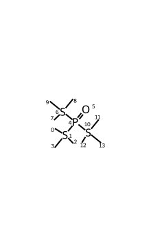 CS(C)(C)P(=O)(S(C)(C)C)S(C)(C)C